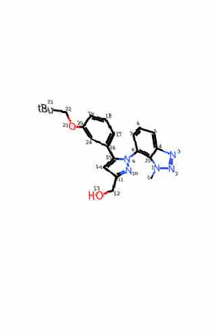 Cn1nnc2cccc(-n3nc(CO)cc3-c3cccc(OCC(C)(C)C)c3)c21